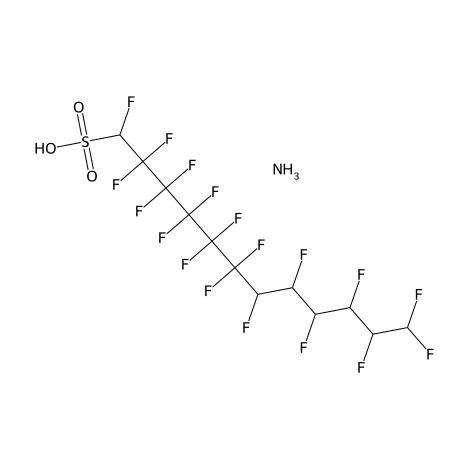 N.O=S(=O)(O)C(F)C(F)(F)C(F)(F)C(F)(F)C(F)(F)C(F)(F)C(F)C(F)C(F)C(F)C(F)C(F)F